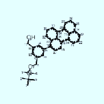 CC(C)(C)[Si](C)(C)OCc1cc(CO)cc(-c2ccc3c4cccc5cccc(c6cccc2c63)c54)c1